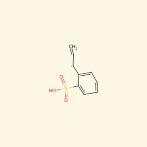 C=C[CH]c1ccccc1S(=O)(=O)O